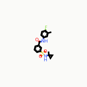 Cc1cc(NC(=O)c2cccc(S(=O)(=O)NC3(C)CC3)c2)ccc1F